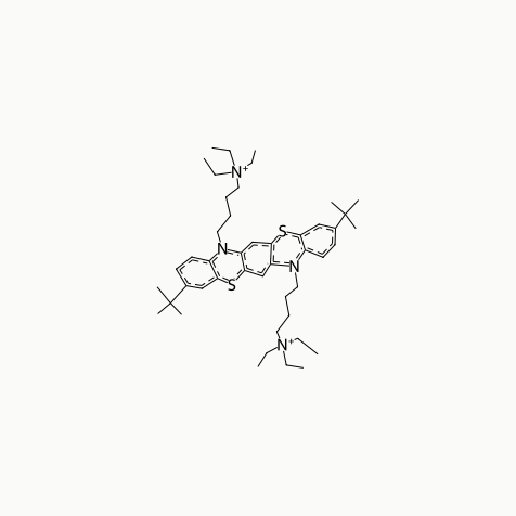 CC[N+](CC)(CC)CCCCn1c2ccc(C(C)(C)C)cc2sc2cc3c(cc21)sc1cc(C(C)(C)C)ccc1n3CCCC[N+](CC)(CC)CC